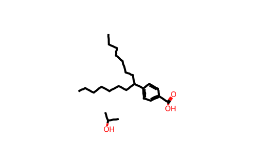 CC(C)O.CCCCCCCC(CCCCCCC)c1ccc(C(=O)O)cc1